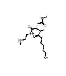 CNCCNC(=O)[C@H](CC(=O)NC)N(C)C(=O)CCCCCS